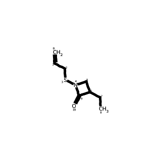 C=CCSN1CC(CC)C1=O